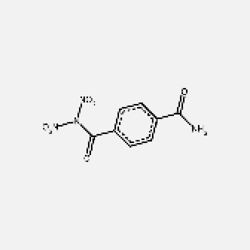 NC(=O)c1ccc(C(=O)N([N+](=O)[O-])[N+](=O)[O-])cc1